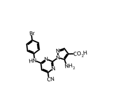 N#Cc1cc(Nc2ccc(Br)cc2)nc(-n2ncc(C(=O)O)c2N)n1